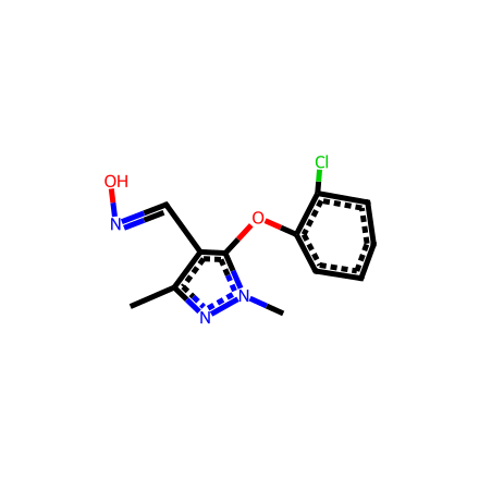 Cc1nn(C)c(Oc2ccccc2Cl)c1/C=N/O